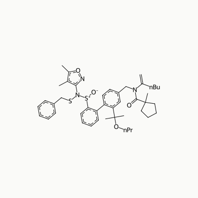 C=C(CCCC)N(Cc1ccc(-c2ccccc2[S+]([O-])N(SCc2ccccc2)c2noc(C)c2C)c(C(C)(C)OCCC)c1)C(=O)C1(C)CCCC1